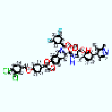 Cc1nccc(-c2ccc(C[C@H](NC(=O)[C@@H]3Cc4cc5c(cc4CN3C(=O)c3cc(F)cc(F)c3)O[C@@H](c3ccc(OCc4ccc(Cl)c(Cl)c4)cc3)CO5)C(=O)O)cc2)c1C